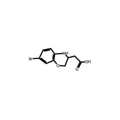 O=C(O)CC1COc2cc(Br)ccc2N1